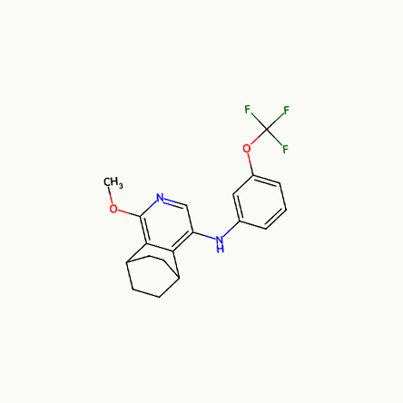 COc1ncc(Nc2cccc(OC(F)(F)F)c2)c2c1C1CCC2CC1